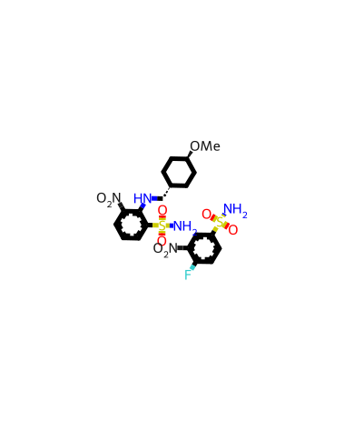 CO[C@H]1CC[C@H](CNc2c([N+](=O)[O-])cccc2S(N)(=O)=O)CC1.NS(=O)(=O)c1ccc(F)c([N+](=O)[O-])c1